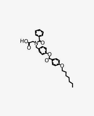 CCCCCCCOc1ccc(C(=O)Oc2ccc(CN(CC(=O)O)C(=O)c3ccccc3)cc2)cc1